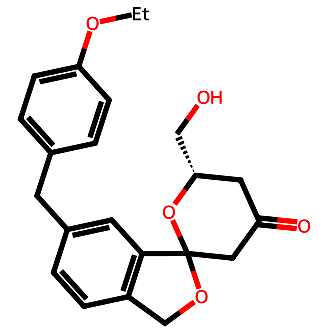 CCOc1ccc(Cc2ccc3c(c2)C2(CC(=O)C[C@@H](CO)O2)OC3)cc1